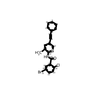 Cc1cc(C#Cc2ccccc2)cnc1NC(=O)c1cc(Br)ccc1Cl